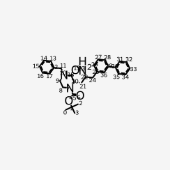 CC(C)(C)OC(=O)N1CCN(Cc2ccccc2)C(=O)[C@@H]1C[C@@H](N)Cc1cccc(-c2ccccc2)c1